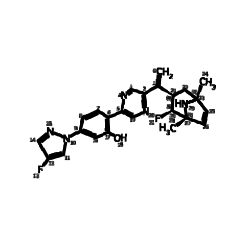 C=C(c1cnc(-c2ccc(-n3cc(F)cn3)cc2O)cn1)[C@H]1C[C@]2(C)C=C[C@@](C)(N2)[C@H]1F